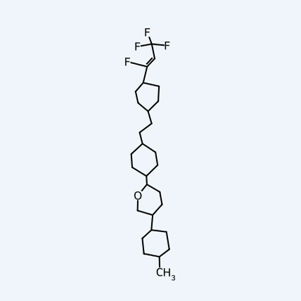 CC1CCC(C2CCC(C3CCC(CCC4CCC(/C(F)=C/C(F)(F)F)CC4)CC3)OC2)CC1